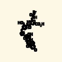 C[C@]12C=CC(=O)C=C1CC[C@H]1[C@@H]3C[C@H]4O[C@@H](c5ccc(Cc6ccc(NC(=O)[C@H](CCC(=O)O)NC(=O)CNC(=O)CBr)c(CO)c6)s5)O[C@@]4(C(=O)CO)[C@@]3(C)C[C@H](O)[C@@]12F